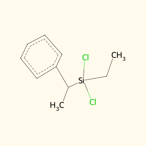 CC[Si](Cl)(Cl)C(C)c1ccccc1